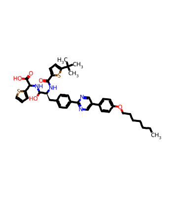 CCCCCCCOc1ccc(-c2cnc(-c3ccc(C[C@H](NC(=O)c4ccc(C(C)(C)C)s4)C(O)NC(C(=O)O)c4cccs4)cc3)nc2)cc1